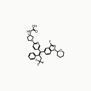 O=C(O)N[C@@H]1CCN(c2ccc(/C(=C(/CC(F)(F)F)c3ccccc3)c3ccc4c(c3)c(F)nn4C3CCCCO3)cn2)C1